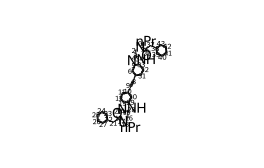 CCCN(Cc1nc2cc(C#Cc3ccc4nc(CN(CCC)C(=O)Cc5ccccc5)[nH]c4c3)ccc2[nH]1)C(=O)Cc1ccccc1